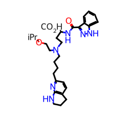 CC(C)OCCN(CCCCc1ccc2c(n1)NCCC2)CC[C@H](NC(=O)c1n[nH]c2ccccc12)C(=O)O